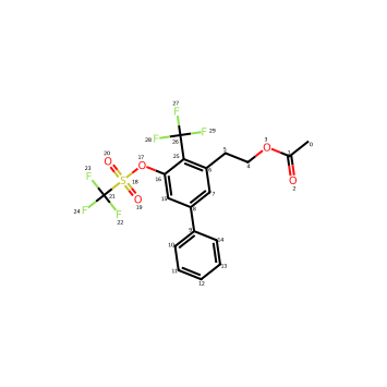 CC(=O)OCCc1cc(-c2ccccc2)cc(OS(=O)(=O)C(F)(F)F)c1C(F)(F)F